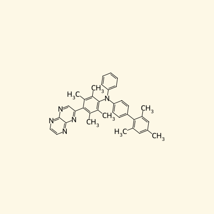 Cc1cc(C)c(-c2ccc(N(c3ccccc3)c3c(C)c(C)c(-c4cnc5nccnc5n4)c(C)c3C)cc2)c(C)c1